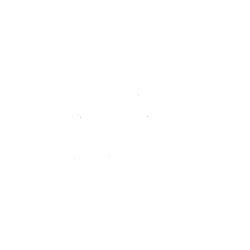 C=CC1Nc2cc3c(cc2N1)C(C)(C)C(=O)N3